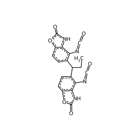 CCC(c1ccc2oc(=O)[nH]c2c1N=C=O)c1ccc2oc(=O)[nH]c2c1N=C=O